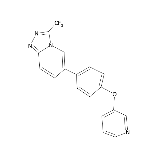 FC(F)(F)c1nnc2ccc(-c3ccc(Oc4cccnc4)cc3)cn12